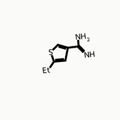 CCc1cc(C(=N)N)cs1